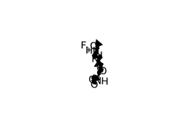 O=C1N[C@H](CCC(=O)N2CC(c3cnc(NCC4(C(F)(F)F)CC4)cn3)C2)CO1